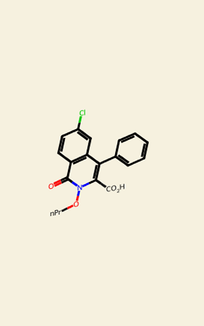 CCCOn1c(C(=O)O)c(-c2ccccc2)c2cc(Cl)ccc2c1=O